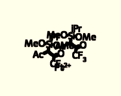 CO[Si](OC)(C(C)C)C(C(C)=O)C(=O)C(F)(F)F.CO[Si](OC)(C(C)C)C(C(C)=O)C(=O)C(F)(F)F.[Pt+2]